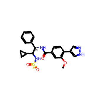 COc1cc(C(=O)N[C@@H](c2ccccc2)C(N[SH](=O)=O)C2CC2)ccc1-c1cn[nH]c1